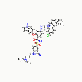 CN(C)CCCNc1ccc(S(=O)(=O)NC(=O)c2ccc(NCCNCC3=C(c4ccc(Cl)cc4)CC(C)(C)CC3)cc2Oc2ccc3[nH]ccc3c2)cc1C#N